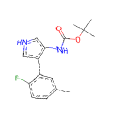 Cc1ccc(F)c(-c2c[nH]cc2NC(=O)OC(C)(C)C)c1